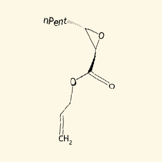 C=CCOC(=O)[C@@H]1O[C@H]1CCCCC